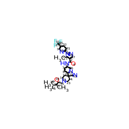 Cc1c(C(=O)Nc2ccc(C3(C#N)CCN(CC(=O)C(C)(C)C)CC3)nc2)cnn1-c1ccc(C(F)(F)F)cn1